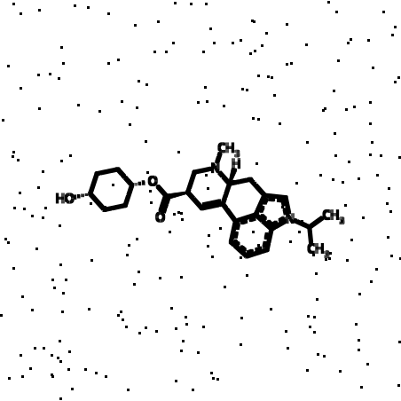 CC(C)n1cc2c3c(cccc31)C1=C[C@@H](C(=O)O[C@H]3CC[C@@H](O)CC3)CN(C)[C@@H]1C2